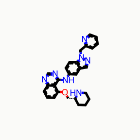 c1ccc(Cn2ncc3cc(Nc4ncnc5cccc(OC[C@H]6CCCCN6)c45)ccc32)nc1